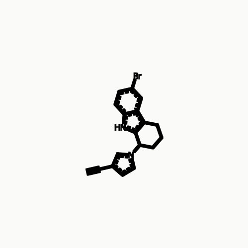 C#Cc1ccn(C2CCCc3c2[nH]c2ccc(Br)cc32)c1